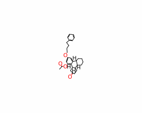 CC(=O)Oc1cc(OCCCCc2ccccc2)cc2c1[C@@H]1CC(=O)CC[C@H]1[C@@H]1CCCC[C@@H]21